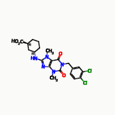 Cn1c(N[C@H]2CCC[C@H](C(=O)O)C2)nc2c1c(=O)n(Cc1ccc(Cl)c(Cl)c1)c(=O)n2C